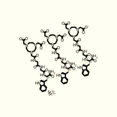 NC(=O)[C@H](Cc1c[nH]c2ccccc12)NC(=O)CNC(=O)CNC(=O)CN1CCN(CC(=O)[O-])CCN(CC(=O)[O-])CC1.NC(=O)[C@H](Cc1c[nH]c2ccccc12)NC(=O)CNC(=O)CNC(=O)CN1CCN(CC(=O)[O-])CCN(CC(=O)[O-])CC1.NC(=O)[C@H](Cc1c[nH]c2ccccc12)NC(=O)CNC(=O)CNC(=O)CN1CCN(CC(=O)[O-])CCN(CC(=O)[O-])CC1.[Sc+3].[Sc+3]